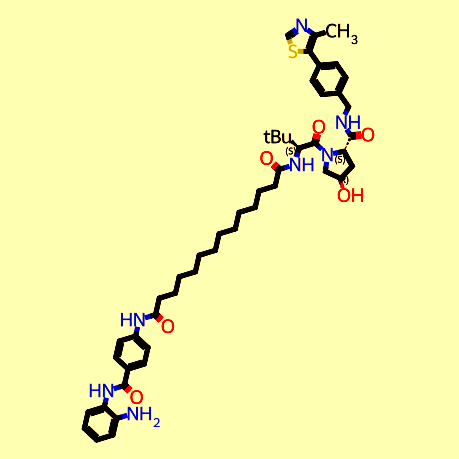 Cc1ncsc1-c1ccc(CNC(=O)[C@@H]2C[C@@H](O)CN2C(=O)[C@@H](NC(=O)CCCCCCCCCCCCC(=O)Nc2ccc(C(=O)Nc3ccccc3N)cc2)C(C)(C)C)cc1